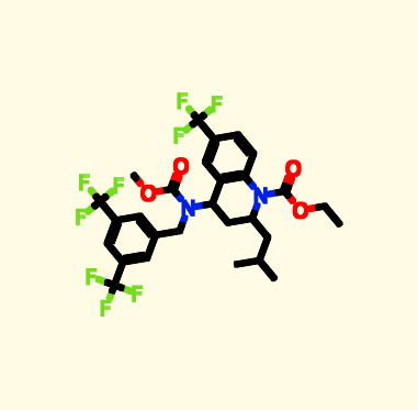 CCOC(=O)N1c2ccc(C(F)(F)F)cc2C(N(Cc2cc(C(F)(F)F)cc(C(F)(F)F)c2)C(=O)OC)CC1CC(C)C